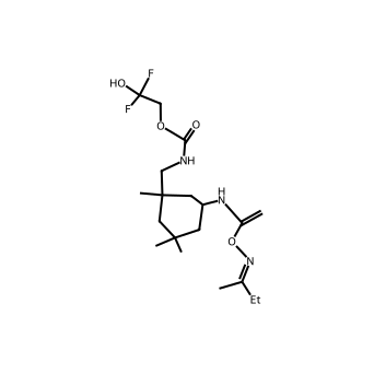 C=C(NC1CC(C)(C)CC(C)(CNC(=O)OCC(O)(F)F)C1)ON=C(C)CC